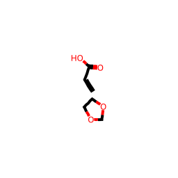 C1COCO1.C=CC(=O)O